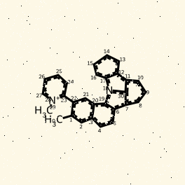 Cc1cc2ccc3c4cccc5c6ccccc6n(c3c2cc1-c1cccc[n+]1C)c54